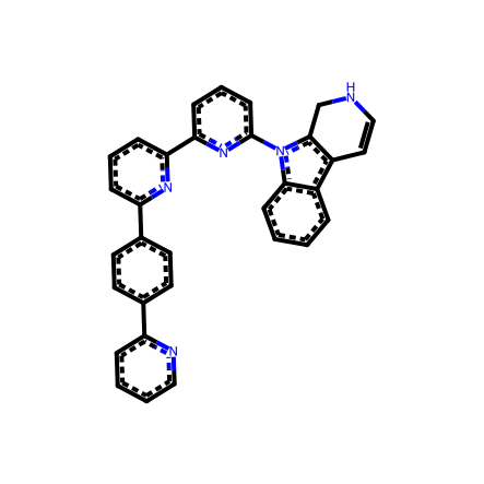 C1=Cc2c(n(-c3cccc(-c4cccc(-c5ccc(-c6ccccn6)cc5)n4)n3)c3ccccc23)CN1